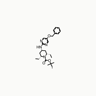 CC[C@@H]1C[C@H](Nc2ncc(OCc3ccccc3)cn2)C[C@H](CC)N1C(=O)OC(C)(C)I